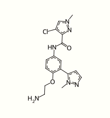 Cn1cc(Cl)c(C(=O)Nc2ccc(OCCN)c(-c3ccnn3C)c2)n1